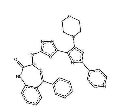 O=C1Nc2ccccc2C(c2ccccc2)=N[C@@H]1Nc1nnc(-c2nc(-c3ccncc3)sc2N2CCOCC2)o1